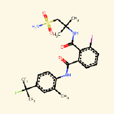 Cc1cc(C(F)(C(F)(F)F)C(F)(F)F)ccc1NC(=O)c1cccc(I)c1C(=O)NC(C)(C)CS(N)(=O)=O